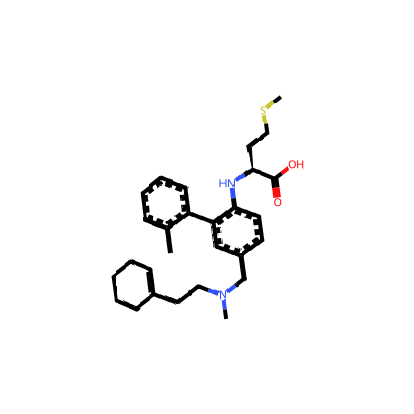 CSCC[C@H](Nc1ccc(CN(C)CCC2=CCCCC2)cc1-c1ccccc1C)C(=O)O